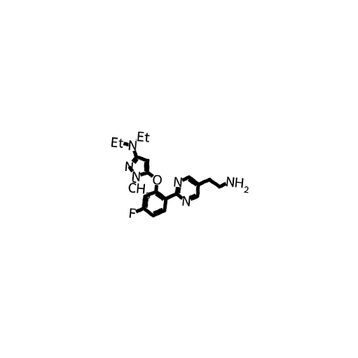 CCN(CC)c1cc(Oc2cc(F)ccc2-c2ncc(CCN)cn2)n(C)n1